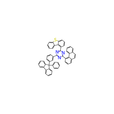 c1ccc(C2(c3cccc(-c4nc(-c5cccc6ccc7ccccc7c56)nc(-c5cccc6sc7ccccc7c56)n4)c3)c3ccccc3-c3ccccc32)cc1